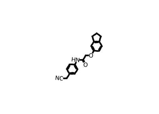 N#CCc1ccc(NC(=O)COc2ccc3c(c2)CCC3)cc1